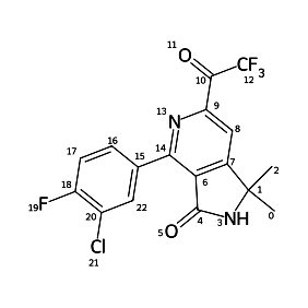 CC1(C)NC(=O)c2c1cc(C(=O)C(F)(F)F)nc2-c1ccc(F)c(Cl)c1